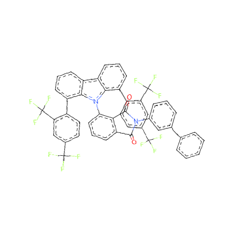 O=C1c2cccc(-n3c4c(-c5ccc(C(F)(F)F)cc5C(F)(F)F)cccc4c4cccc(-c5ccc(C(F)(F)F)cc5C(F)(F)F)c43)c2C(=O)N1c1cccc(-c2ccccc2)c1